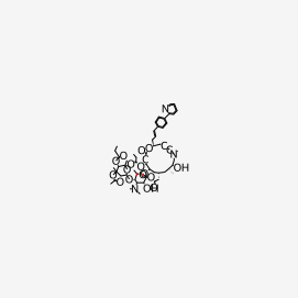 CCC(=O)O[C@@H]1CC(=O)O[C@@H](C/C=C/c2ccc(-c3ccccn3)cc2)CCCN(C)C[C@H](O)[C@H](C)C[C@H](CC=O)[C@H](O[C@@H]2OC(C)[C@@H](O[C@H]3CC(C)(OC(C)=O)[C@@H](OC(=O)CC)C(C)O3)C(N(C)C)C2O)[C@H]1OC